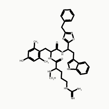 Cc1cc(O)cc(C)c1CC(NC(=O)C(CCCNC(=N)N)NC(=O)O)C(=O)NC(Cc1c[nH]c2ccccc12)c1nc(Cc2ccccc2)no1